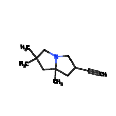 C#CC1CN2CC(C)(C)CC2(C)C1